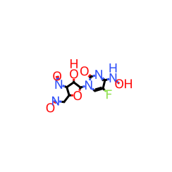 O=NCC1OC(n2cc(F)c(NO)nc2=O)C(O)C1N=O